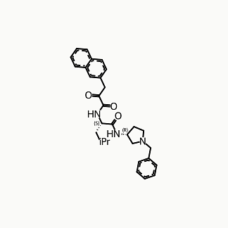 CC(C)C[C@H](NC(=O)C(=O)Cc1ccc2ccccc2c1)C(=O)N[C@@H]1CCN(Cc2ccccc2)C1